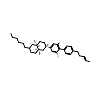 C/C=C/CCc1ccc(-c2c(F)cc([C@@H]3CC[C@@H]4CC(CCCCCC)CC[C@@H]4C3)cc2F)cc1